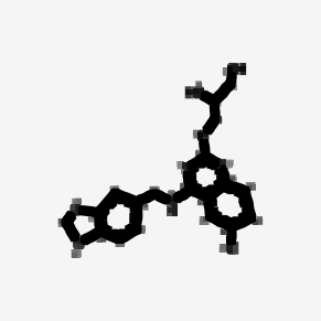 OCC(O)COc1nc(NCc2ccc3c(c2)OCO3)c2cc(Cl)ccc2n1